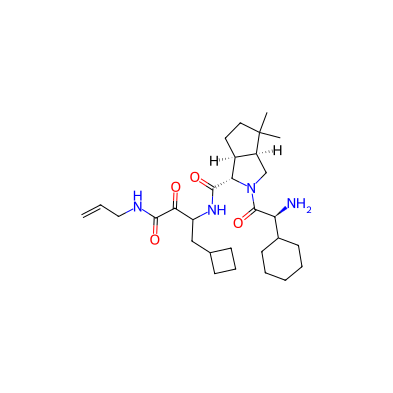 C=CCNC(=O)C(=O)C(CC1CCC1)NC(=O)[C@@H]1[C@H]2CCC(C)(C)[C@H]2CN1C(=O)[C@@H](N)C1CCCCC1